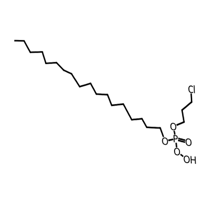 CCCCCCCCCCCCCCCCCCOP(=O)(OO)OCCCCl